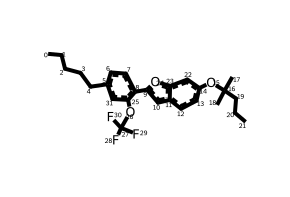 CCCCCc1ccc(-c2cc3ccc(OC(C)(C)CCC)cc3o2)c(OC(F)(F)F)c1